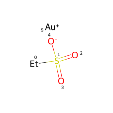 CCS(=O)(=O)[O-].[Au+]